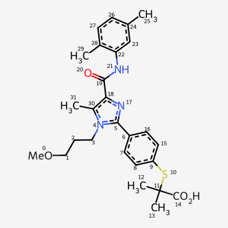 COCCCn1c(-c2ccc(SC(C)(C)C(=O)O)cc2)nc(C(=O)Nc2cc(C)ccc2C)c1C